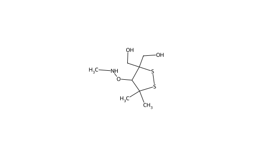 CNOC1C(C)(C)SSC1(CO)CO